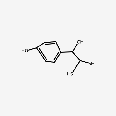 Oc1ccc(C(O)C(S)S)cc1